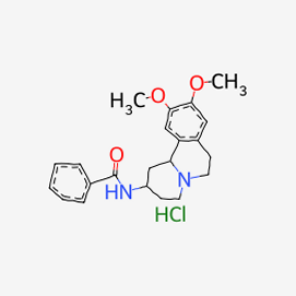 COc1cc2c(cc1OC)C1CC(NC(=O)c3ccccc3)CCN1CC2.Cl